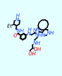 CCC1CNCCC1CNC(=O)c1cccc(NCc2nnc(C3NCNCC34CCCCCCCCC4)n2CCNC[C@H](O)CO)c1